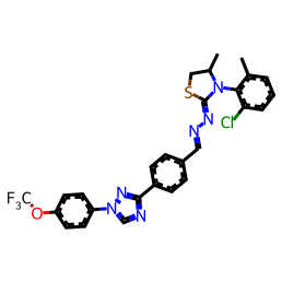 Cc1cccc(Cl)c1N1/C(=N/N=C/c2ccc(-c3ncn(-c4ccc(OC(F)(F)F)cc4)n3)cc2)SCC1C